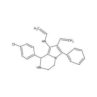 C=CNc1c(C=C)c(-c2ccccc2)n2c1C(c1ccc(Cl)cc1)NCC2